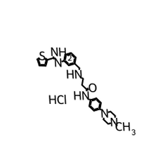 CN1CCN(c2ccc(NC(=O)CCNCc3cccc(/N=C(\N)c4cccs4)c3)cc2)CC1.Cl